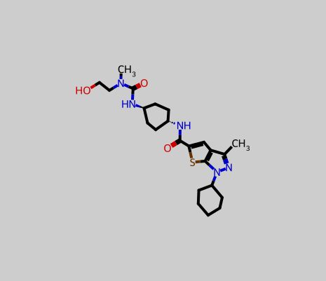 Cc1nn(C2CCCCC2)c2sc(C(=O)N[C@H]3CC[C@H](NC(=O)N(C)CCO)CC3)cc12